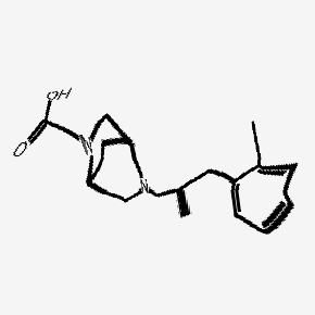 Cc1ccccc1CC(C)N1CC2CC1CN2C(=O)O